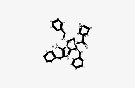 Cc1c(Cc2ccccc2)nc2n1[C@H](CCc1ccccc1)CN(C(=O)c1cccnc1)[C@H]2Cc1ccccc1